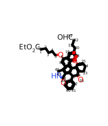 CCOC(=O)CCCCCOc1cc2c3c(c4c(c2c2ccccc12)C1=C(CCC=C1OCCCCCC=O)C(=O)C4c1ccccc1)C(=O)NC3